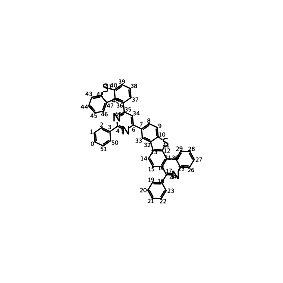 c1ccc(-c2nc(-c3ccc4sc5c(ccc6c(-c7ccccc7)nc7ccccc7c65)c4c3)cc(-c3cccc4sc5ccccc5c34)n2)cc1